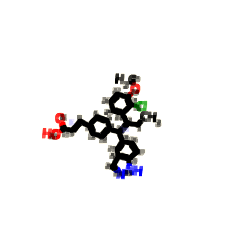 CC/C(=C(/c1ccc(/C=C/C(=O)O)cc1)c1ccc2[nH]ncc2c1)c1cccc(OC)c1Cl